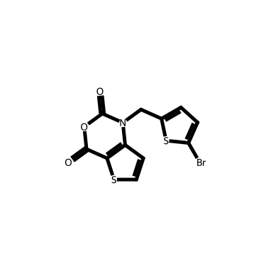 O=c1oc(=O)n(Cc2ccc(Br)s2)c2ccsc12